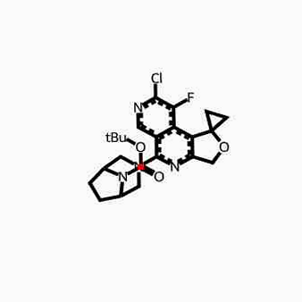 CC(C)(C)OC(=O)N1C2CCC1CN(c1nc3c(c4c(F)c(Cl)ncc14)C1(CC1)OC3)C2